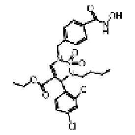 CCCCN1C(c2ccc(Cl)cc2Cl)C(C(=O)OCC)=CN(Cc2ccc(C(=O)NO)cc2)S1(=O)=O